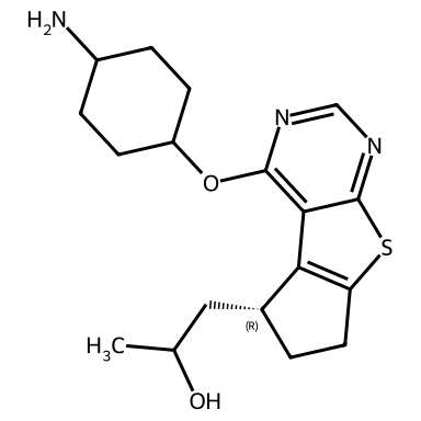 CC(O)C[C@H]1CCc2sc3ncnc(OC4CCC(N)CC4)c3c21